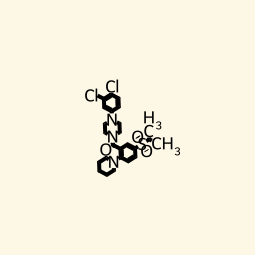 CC(C)S(=O)(=O)c1ccc(N2CCCCC2)c(C(=O)N2CCN(c3ccc(Cl)c(Cl)c3)CC2)c1